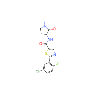 O=C(NC1CCNC1=O)c1cnc(-c2cc(Cl)ccc2F)s1